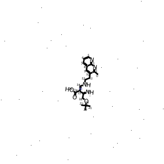 Cc1nc2ncccc2cc1CCN/C=C(\C(=N)COC(C)(C)C)C(=O)O